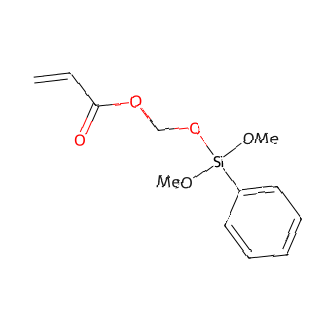 C=CC(=O)OCO[Si](OC)(OC)c1ccccc1